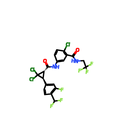 O=C(NCC(F)(F)F)c1cc(NC(=O)[C@@H]2[C@@H](c3ccc(C(F)F)c(F)c3)C2(Cl)Cl)ccc1Cl